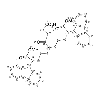 COC(=O)N(CCCN(CCCN(C(=O)OC)C1c2ccccc2-c2ccccc21)C(=O)CCC(=O)O)C1c2ccccc2-c2ccccc21